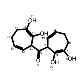 O=C(C1C=CCCC(O)=C1O)C1C=CCCC(O)=C1O